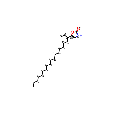 CCCCCCCCCCCCCCCCCC(CC)c1c[nH]c(=O)o1